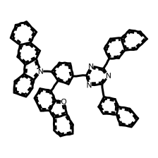 c1ccc2cc(-c3nc(-c4ccc(-n5c6ccccc6c6cc7ccccc7cc65)c(-c5cccc6c5oc5ccccc56)c4)nc(-c4ccc5ccccc5c4)n3)ccc2c1